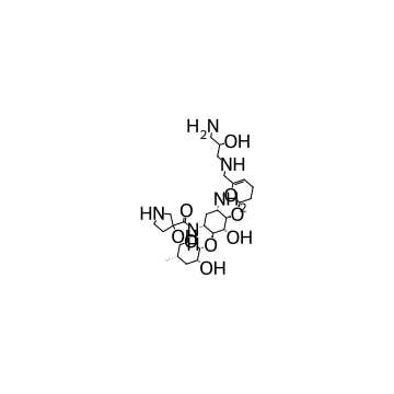 C[C@@H]1CO[C@H](O[C@@H]2[C@@H](O)[C@H](O[C@@H]3CCC=C(CNCC(O)CN)O3)[C@@H](N)C[C@H]2NC(=O)C2(O)CCNC2)[C@H](O)C1